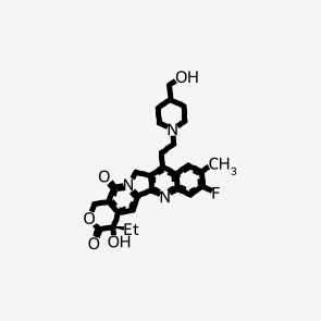 CC[C@@]1(O)C(=O)OCc2c1cc1n(c2=O)Cc2c-1nc1cc(F)c(C)cc1c2CCN1CCC(CO)CC1